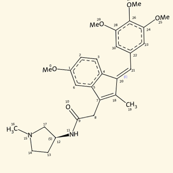 COc1ccc2c(c1)C(CC(=O)N[C@H]1CCN(C)C1)=C(C)/C2=C/c1cc(OC)c(OC)c(OC)c1